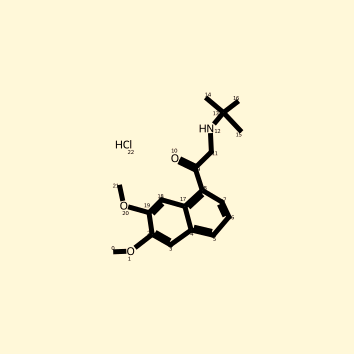 COc1cc2cccc(C(=O)CNC(C)(C)C)c2cc1OC.Cl